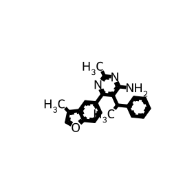 Cc1nc(N)c(C(C)c2ccccc2)c(-c2ccc3occ(C)c3c2)n1